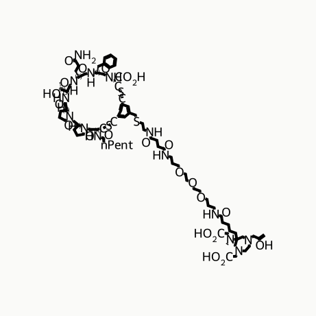 C=C(O)CN1CCN(CC(=O)O)CC(CCCCC(=O)NCCCOCCOCCOCCCNC(=O)CCC(=O)NCCSCc2cc3cc(c2)CSC[C@H](NC(=O)CCCCC)C(=O)N2CCC[C@H]2C(=O)N2CCC[C@H]2C(=O)N[C@@H]([C@@H](C)O)C(=O)N[C@@H](CCC(N)=O)C(=O)N[C@@H](Cc2ccccc2)C(=O)NC(C(=O)O)CSC3)(N(C)CC(=O)O)C1